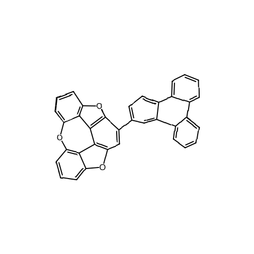 c1cc2oc3cccc4oc5c(-c6ccc7c8ccccc8c8ccccc8c7c6)cc6oc(c1)c2c6c5c34